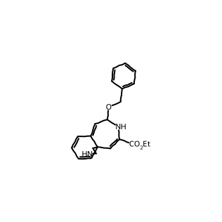 CCOC(=O)C1=CC23CCNC2=CC=CC3=CC(OCc2ccccc2)N1